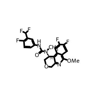 COc1nc2c(c3cc(F)c(F)cc13)[C@H](N(C)C(=O)Nc1ccc(F)c(C(F)F)c1)COC2